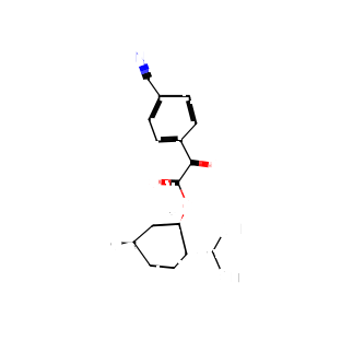 CC(C)[C@@H]1CC[C@@H](C)C[C@H]1OC(=O)C(=O)c1ccc(C#N)cc1